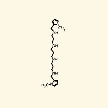 Cn1cccc1CNCCCNCCCNCCCNCc1cccn1C